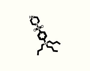 CCC[CH2][Sn]([CH2]CCC)([CH2]CCC)[c]1ccc(S(=O)(=O)N2CCNCC2)cc1